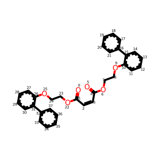 O=C(/C=C\C(=O)OCCOc1ccccc1-c1ccccc1)OCCOc1ccccc1-c1ccccc1